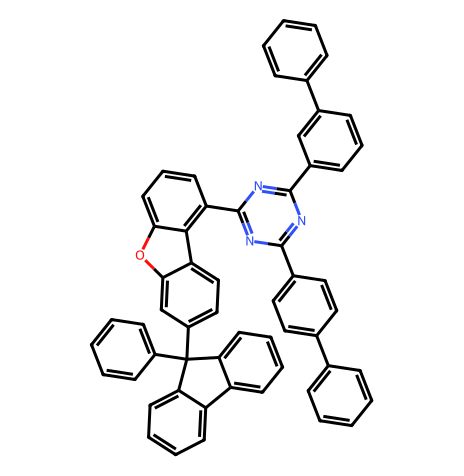 c1ccc(-c2ccc(-c3nc(-c4cccc(-c5ccccc5)c4)nc(-c4cccc5oc6cc(C7(c8ccccc8)c8ccccc8-c8ccccc87)ccc6c45)n3)cc2)cc1